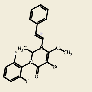 COC1=C(Br)C(=O)N(c2c(F)cccc2F)C(C)N1/C=C/c1ccccc1